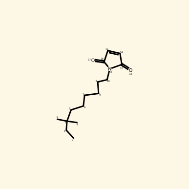 CCC(C)(C)CCCCCCN1C(=O)C=CC1=O